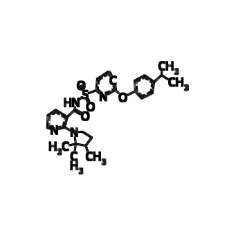 CC(C)c1ccc(Oc2cccc(S(=O)(=O)NC(=O)c3cccnc3N3CCC(C)C3(C)C)n2)cc1